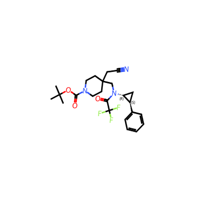 CC(C)(C)OC(=O)N1CCC(CC#N)(CN(C(=O)C(F)(F)F)[C@@H]2C[C@H]2c2ccccc2)CC1